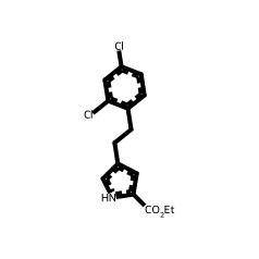 CCOC(=O)c1cc(CCc2ccc(Cl)cc2Cl)c[nH]1